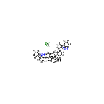 CC1=Cc2c(-c3cccc4c3[nH]c3ccccc34)cccc2[CH]1[Zr+2]([CH]1C(C)=Cc2c(-c3cccc4c3[nH]c3ccccc34)cccc21)[SiH](C)C.[Cl-].[Cl-]